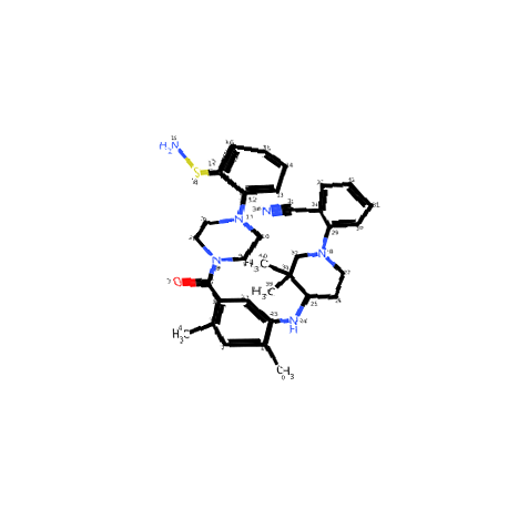 Cc1cc(C)c(C(=O)N2CCN(c3ccccc3SN)CC2)cc1NC1CCN(c2ccccc2C#N)CC1(C)C